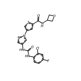 O=C(Nc1cnn(-c2csc(C(=O)NC3COC3)c2)c1)Nc1ccc(F)cc1Cl